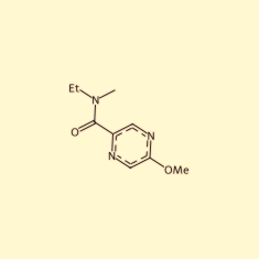 CCN(C)C(=O)c1cnc(OC)cn1